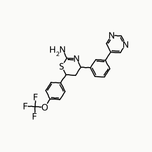 NC1=NC(c2cccc(-c3cncnc3)c2)CC(c2ccc(OC(F)(F)F)cc2)S1